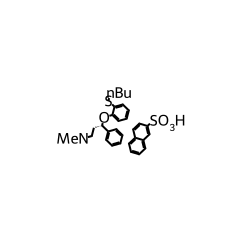 CCCCSc1ccccc1O[C@@H](CCNC)c1ccccc1.O=S(=O)(O)c1ccc2ccccc2c1